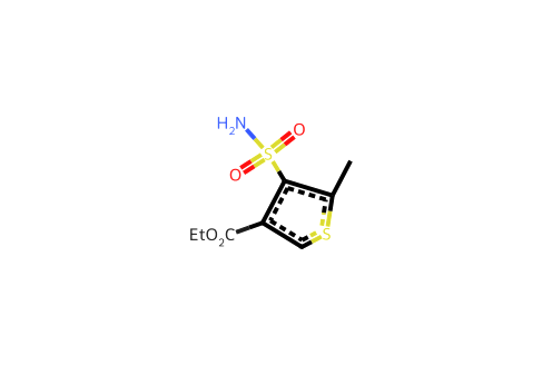 CCOC(=O)c1csc(C)c1S(N)(=O)=O